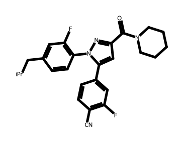 CC(C)Cc1ccc(-n2nc(C(=O)N3CCCCC3)cc2-c2ccc(C#N)c(F)c2)c(F)c1